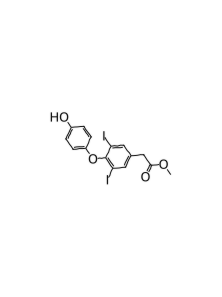 COC(=O)Cc1cc(I)c(Oc2ccc(O)cc2)c(I)c1